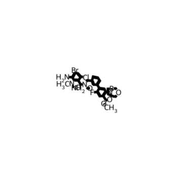 COC(=O)c1cc(F)c(-c2cccc3c2OCN(C(=O)c2c(Cl)cc(Br)c(N)c2N(C)N)C3)cc1N1B2CCC1COC2